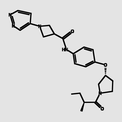 CC[C@H](C)C(=O)N1CC[C@@H](Oc2ccc(NC(=O)C3CN(c4ccnnc4)C3)cc2)C1